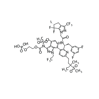 CC(C)(CCc1ccc(-c2ccc(Cl)c3c(N(C(=O)OCCOP(=O)(O)O)S(C)(=O)=O)nn(CC(F)(F)F)c23)c([C@H](Cc2cc(F)cc(F)c2)NC(=O)Cn2nc(C(F)(F)F)c3c2C(F)(F)[C@H](I)C3)n1)S(C)(=O)=O